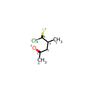 CC(=O)CC(C)C(=S)Cl